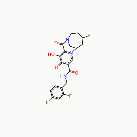 O=C(NCc1ccc(F)cc1F)c1cn2c(c(O)c1=O)C(=O)N1CCC(F)CC2C1